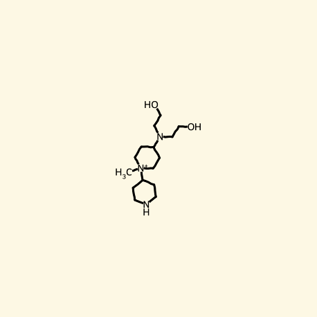 C[N+]1(C2CCNCC2)CCC(N(CCO)CCO)CC1